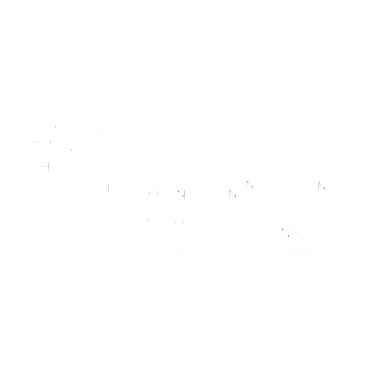 CNC(=O)c1c(-c2ccncc2)nn2cc(N(Cc3ccc(B4OC(C)(C)C(C)(C)O4)c(F)c3)S(C)(=O)=O)c(C3CC3)cc12